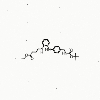 CCOC(=O)CCCNc1ccccc1Nc1ccc(CNC(=O)OC(C)(C)C)cc1